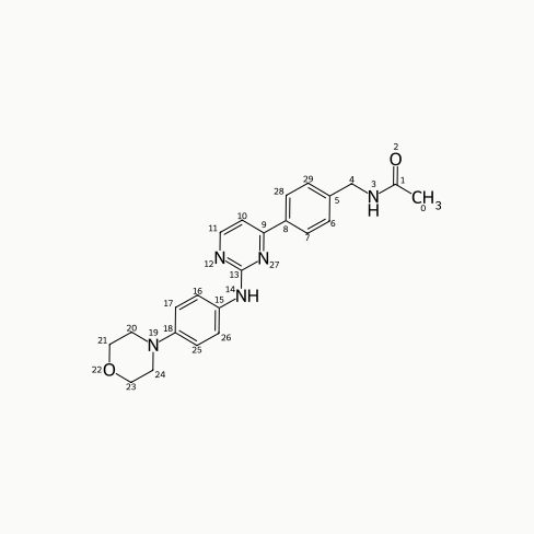 CC(=O)NCc1ccc(-c2ccnc(Nc3ccc(N4CCOCC4)cc3)n2)cc1